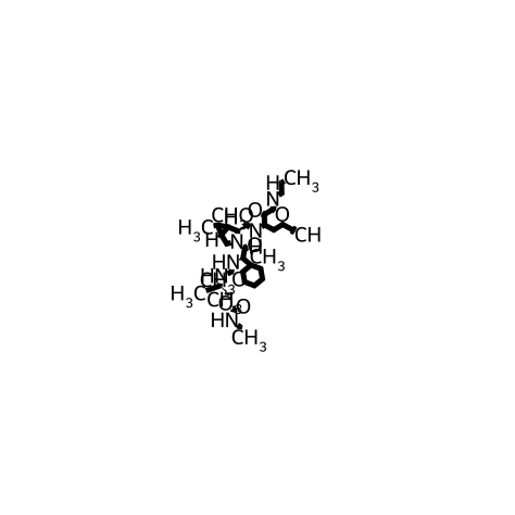 C#CCCC(NC(=O)[C@@H]1[C@@H]2[C@H](CN1C(=O)[C@@H](NC(=O)N[C@H](COC(=O)NCC)C(C)(C)C)C1(C)CCCCC1)C2(C)C)C(=O)C(=O)NCCC